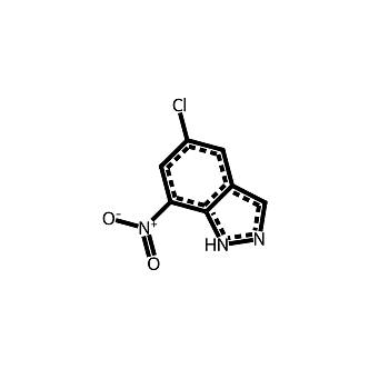 O=[N+]([O-])c1cc(Cl)cc2cn[nH]c12